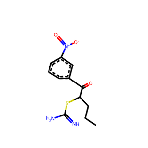 CCCC(SC(=N)N)C(=O)c1cccc([N+](=O)[O-])c1